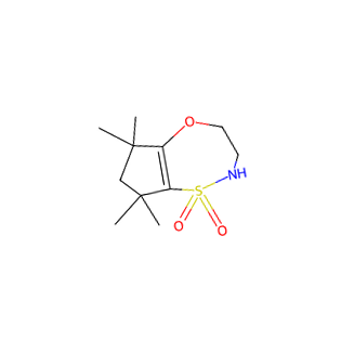 CC1(C)CC(C)(C)C2=C1OCCNS2(=O)=O